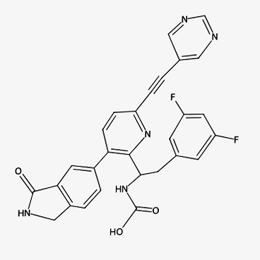 O=C(O)NC(Cc1cc(F)cc(F)c1)c1nc(C#Cc2cncnc2)ccc1-c1ccc2c(c1)C(=O)NC2